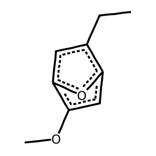 CCc1cc2oc1cc2OC